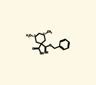 C[C@@H]1C[C@H](C)CC(C(=N)OCc2ccccc2)(C(=O)O)C1